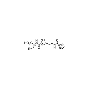 CC(C)C[C@H](NC(=O)[C@@H](N)CCCCNC(=O)[C@@H]1N=CC[C@H]1C)C(=O)O